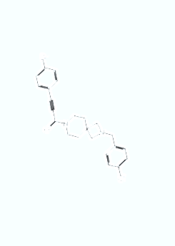 O=C(C#Cc1ccc(Br)cc1)N1CCC2(CC1)CN(Cc1ccc(Cl)cc1)C2